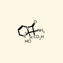 Cl.NC1(C(=O)O)C(=O)N2C=CCS[C@H]21